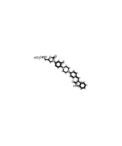 O=C(O)NCC1CN(c2ccc(N3CCN(C4C=CC(=CC5C(=O)Nc6ccccc65)C=C4)CC3)c(F)c2)C(=O)O1